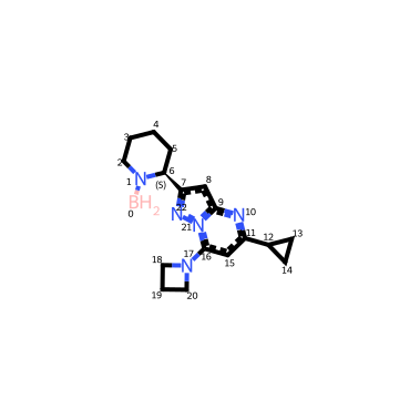 BN1CCCC[C@H]1c1cc2nc(C3CC3)cc(N3CCC3)n2n1